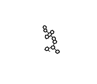 Cc1ccccc1-c1cc(-c2ccccc2)cc(-c2ccc3ccc(-c4c5ccccc5c(-c5ccc6ccccc6c5)c5ccccc45)cc3c2)c1